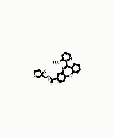 Cc1cccnc1C1=Nc2cc(C(=O)NCC3(C)C=CN=C3)ccc2Sc2ccccc21